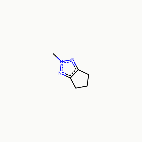 Cn1nc2c(n1)CCC2